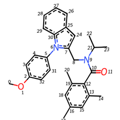 COc1ccc(-n2c(CN(C(=O)c3c(C)cc(C)cc3C)C(C)C)cc3ccccc32)cc1